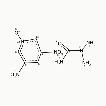 NC(=O)N(N)N.O=[N+]([O-])c1cc([N+](=O)[O-])c[n+]([O-])c1